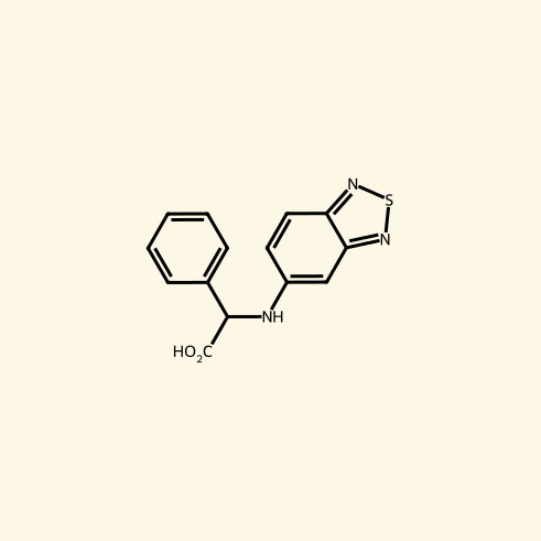 O=C(O)C(Nc1ccc2nsnc2c1)c1ccccc1